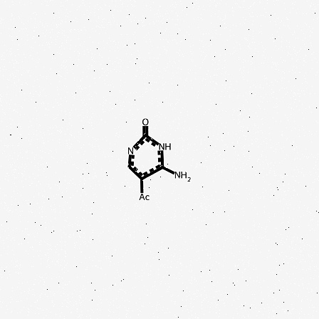 CC(=O)c1cnc(=O)[nH]c1N